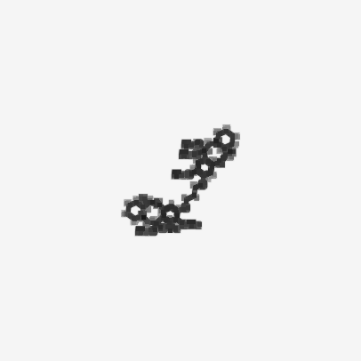 COc1cc2c(cc1OCCCOc1cc3c(cc1OC)C(OC)(OC)CN1CCCC[C@H]1/C=N\3)/N=C\[C@@H]1CCCCN1CC2(OC)OC